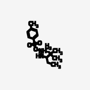 CCC(NNOS(=O)(=O)c1ccc(C)cc1)C(C)(C)C